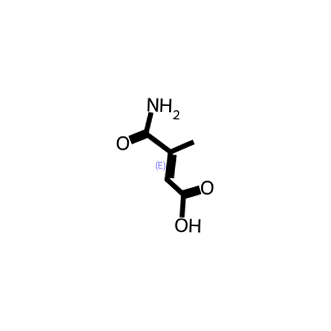 C/C(=C\C(=O)O)C(N)=O